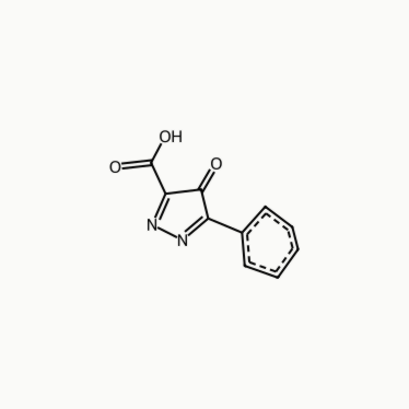 O=C(O)C1=NN=C(c2ccccc2)C1=O